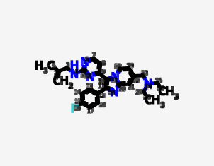 C=C(C)CNc1nccc(-c2c(-c3ccc(F)cc3)nc3cc(CN(CC)CC)ccn23)n1